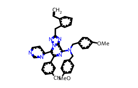 C=Cc1ccccc1Cc1nc2c(N(Cc3ccc(OC)cc3)Cc3ccc(OC)cc3)nc(-c3cccc(C#N)c3)c(-c3ccncn3)n2n1